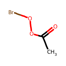 CC(=O)OOBr